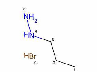 Br.CCCNN